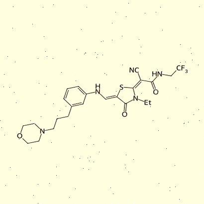 CCn1c(=C(C#N)C(=O)NCC(F)(F)F)sc(=CNc2cccc(CCCN3CCOCC3)c2)c1=O